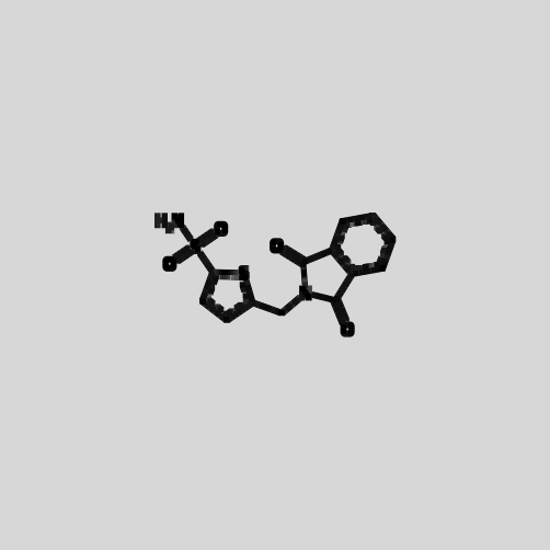 NS(=O)(=O)c1ccc(CN2C(=O)c3ccccc3C2=O)s1